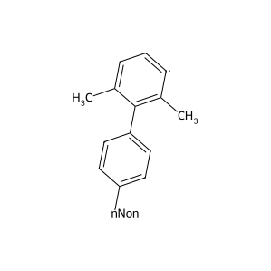 CCCCCCCCCc1ccc(-c2c(C)[c]ccc2C)cc1